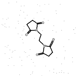 O=C1CCC(=O)N1CCN1C(=O)CCC1=O